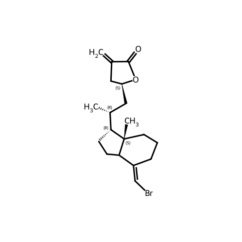 C=C1C[C@H](C[C@@H](C)[C@H]2CCC3C(=CBr)CCC[C@]32C)OC1=O